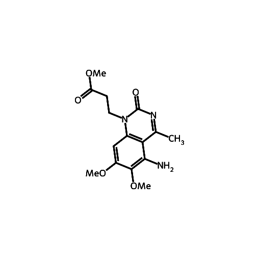 COC(=O)CCn1c(=O)nc(C)c2c(N)c(OC)c(OC)cc21